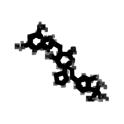 Cc1cc(C)n2nc(CC3=C(O)C[C@](CCc4ccc(C(C)(C)C#N)c(Cl)c4)(C4CCCC4)OC3=O)nc2n1